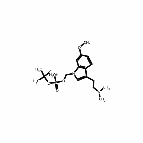 COc1ccc2c(CCN(C)C)cn(COP(=O)(O)OC(C)(C)C)c2c1